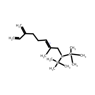 C=CC(=C)CC/C=C(\C)CN([Si](C)(C)C)[Si](C)(C)C